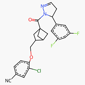 N#Cc1ccc(OCC2CC3(C(=O)N4N=CCC4c4cc(F)cc(F)c4)CC2C3)c(Cl)c1